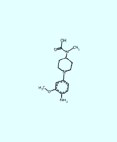 COc1cc(N2CCC(N(C)C(=O)O)CC2)ccc1N